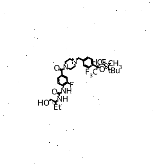 CC[C@@H](CO)NC(=O)Nc1ccc(C(=O)N2CCN(Cc3ccc(C(O[Si](C)(C)C(C)(C)C)(C(F)(F)F)C(F)(F)F)cc3)CC2)cc1F